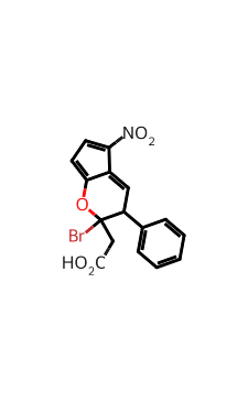 O=C(O)CC1(Br)OC2=CC=C([N+](=O)[O-])C2=CC1c1ccccc1